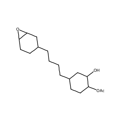 CC(=O)OC1CCC(CCCCC2CCC3OC3C2)CC1O